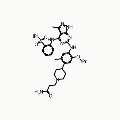 Cc1cc(Nc2nc(Nc3ccccc3S(=O)(=O)C(C)C)c3c(C)n[nH]c3n2)c(OC(C)C)cc1C1CCN(CCC(N)=O)CC1